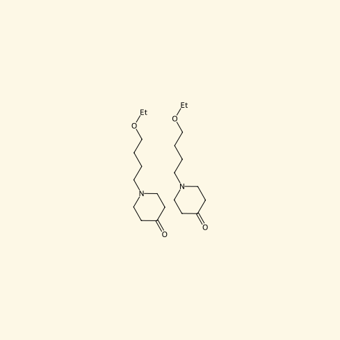 CCOCCCCN1CCC(=O)CC1.CCOCCCCN1CCC(=O)CC1